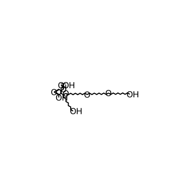 [O]=[Ti]([OH])[O]c1cc2c(c(O)c1C(CCCCCCCO)OCCCCCCCCOCCCCCCCCOCCCCCCCCO)O2